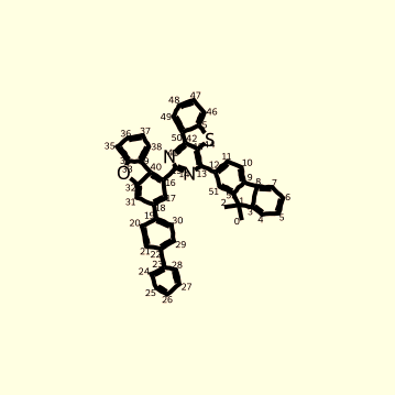 CC1(C)c2ccccc2-c2ccc(-c3nc(-c4cc(-c5ccc(-c6ccccc6)cc5)cc5oc6ccccc6c45)nc4c3sc3ccccc34)cc21